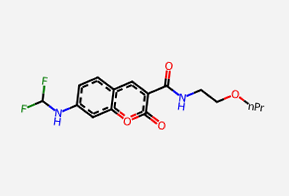 CCCOCCNC(=O)c1cc2ccc(NC(F)F)cc2oc1=O